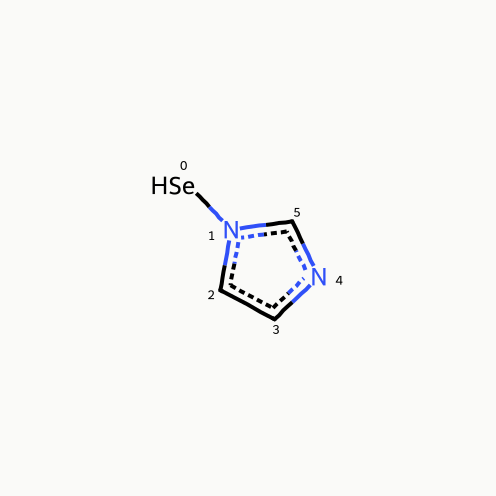 [SeH]n1ccnc1